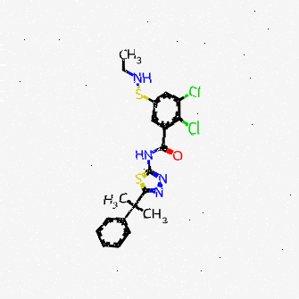 CCNSc1cc(Cl)c(Cl)c(C(=O)Nc2nnc(C(C)(C)c3ccccc3)s2)c1